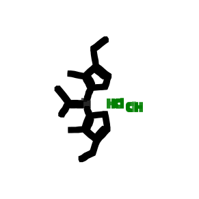 CCC1=CC[C]([Ti]([C]2=C(C)C(CC)=CC2)=[C](C)C)=C1C.Cl.Cl